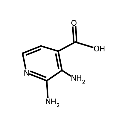 Nc1nccc(C(=O)O)c1N